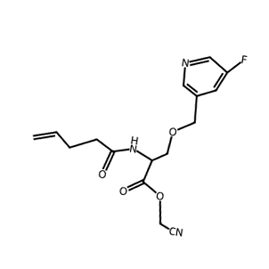 C=CCCC(=O)NC(COCc1cncc(F)c1)C(=O)OCC#N